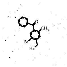 Cc1cc(CS)c(Br)cc1C(=O)c1ccccc1